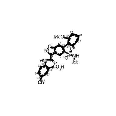 CCNS(=O)(=O)c1cc2c(C(=O)Nc3ccc(C#N)cc3C(=O)O)noc2cc1-c1ccccc1OC